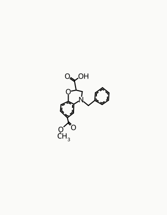 COC(=O)c1ccc2c(c1)N(Cc1ccccc1)CC(C(=O)O)O2